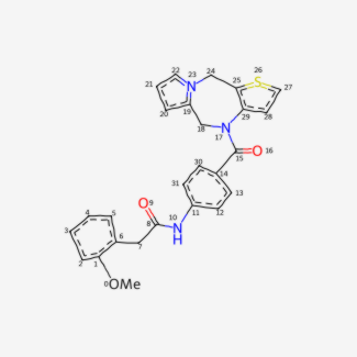 COc1ccccc1CC(=O)Nc1ccc(C(=O)N2Cc3cccn3Cc3sccc32)cc1